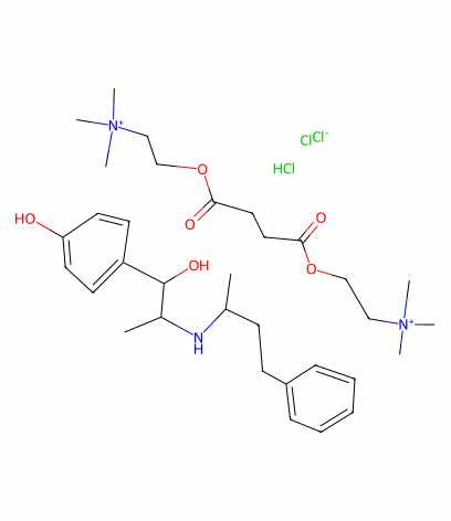 CC(CCc1ccccc1)NC(C)C(O)c1ccc(O)cc1.C[N+](C)(C)CCOC(=O)CCC(=O)OCC[N+](C)(C)C.Cl.[Cl-].[Cl-]